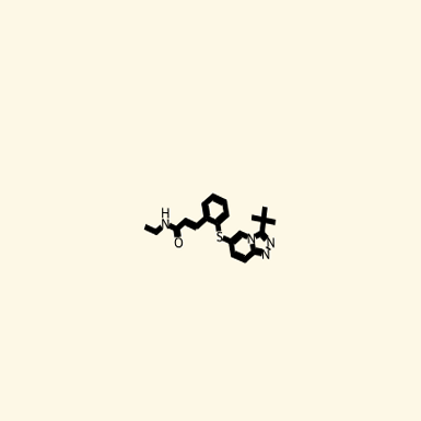 CCNC(=O)C=Cc1ccccc1Sc1ccc2nnc(C(C)(C)C)n2c1